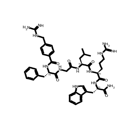 CC(C)C[C@H](NC(=O)CNC(=O)[C@H](Cc1ccccc1)NC(=O)c1ccc(CNC(=N)N)cc1)C(=O)N[C@@H](CCCNC(=N)N)C(=O)N[C@@H](Cc1c[nH]c2ccccc12)C(N)=O